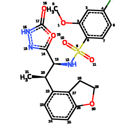 COc1cc(Cl)ccc1S(=O)(=O)N[C@H](c1n[nH]c(=O)o1)[C@H](C)c1cccc2c1CCO2